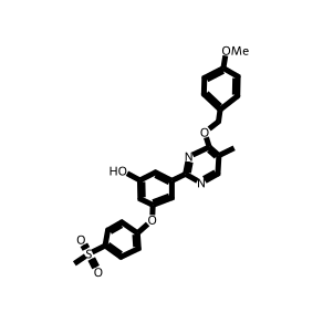 COc1ccc(COc2nc(-c3cc(O)cc(Oc4ccc(S(C)(=O)=O)cc4)c3)ncc2C)cc1